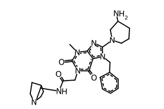 Cn1c(=O)n(CC(=O)NC2CN3CCC2CC3)c(=O)c2c1nc(N1CCCC(N)C1)n2Cc1ccccc1